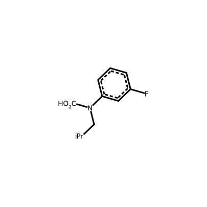 CC(C)CN(C(=O)O)c1cccc(F)c1